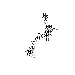 CC(=O)c1c(C)c2cnc(Nc3ccc(N4CCN(C(=O)COCC(=O)N[C@H](C(=O)N5C[C@H](O)C[C@H]5C(=O)NCc5ccc(-c6scnc6C)cc5)C(C)(C)C)CC4)cn3)nc2n(C2CCCC2)c1=O